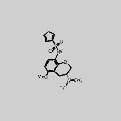 COc1ccc(NS(=O)(=O)c2ccsc2)c2c1C[C@@H](N(C)C)CO2